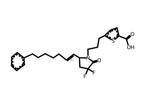 O=C(O)c1ccc(CCCN2C(=O)C(F)(F)CC2/C=C/CCCCCc2ccccc2)s1